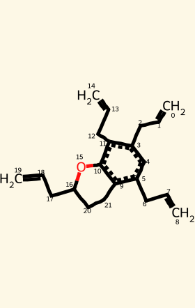 C=CCc1cc(CC=C)c2c(c1CC=C)OC(CC=C)CC2